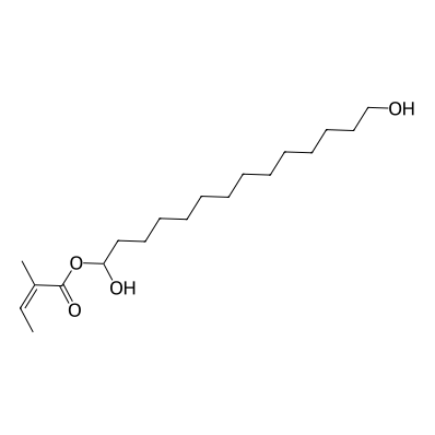 CC=C(C)C(=O)OC(O)CCCCCCCCCCCCCO